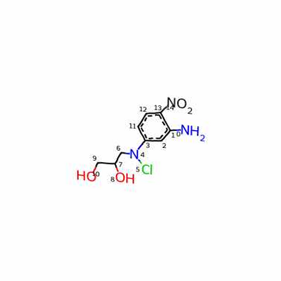 Nc1cc(N(Cl)CC(O)CO)ccc1[N+](=O)[O-]